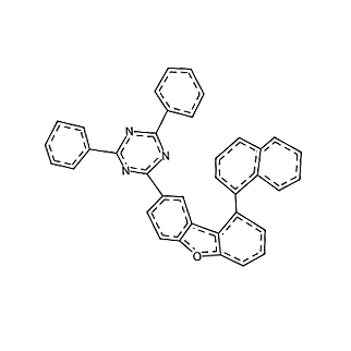 c1ccc(-c2nc(-c3ccccc3)nc(-c3ccc4oc5cccc(-c6cccc7ccccc67)c5c4c3)n2)cc1